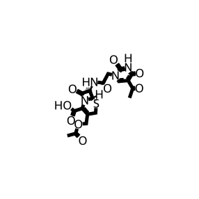 CC(=O)OCC1=C(C(=O)O)N2C(=O)[C@@H](NC(=O)Cn3cc(C(C)=O)c(=O)[nH]c3=O)[C@H]2SC1